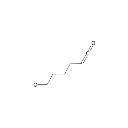 [O]CCCCC=C=O